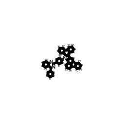 c1ccc(-c2nc(-c3ccc(-n4c5c6cccc7c6c(cc5c5c6ccccc6c6ccccc6c54)-c4ccccc4-7)cc3)nc3ccccc23)cc1